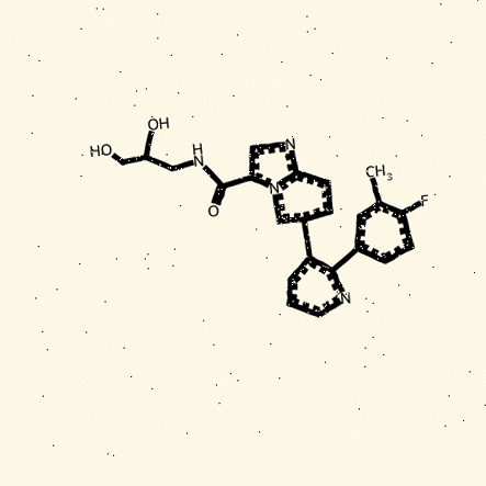 Cc1cc(-c2ncccc2-c2ccc3ncc(C(=O)NCC(O)CO)n3c2)ccc1F